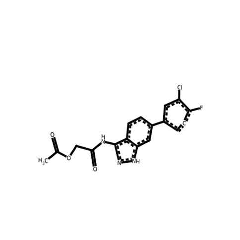 CC(=O)OCC(=O)Nc1n[nH]c2cc(-c3ccc(F)c(Cl)c3)ccc12